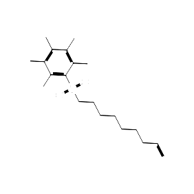 C=CCCCCCCCS(=O)(=O)c1c(C)c(C)c(C)c(C)c1C